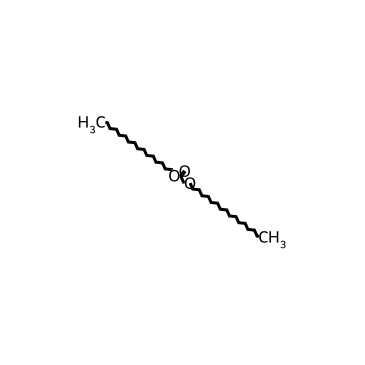 CCCCCCCCCCCCCCCCOCC(=O)OCCCCCCCCCCCCCCCC